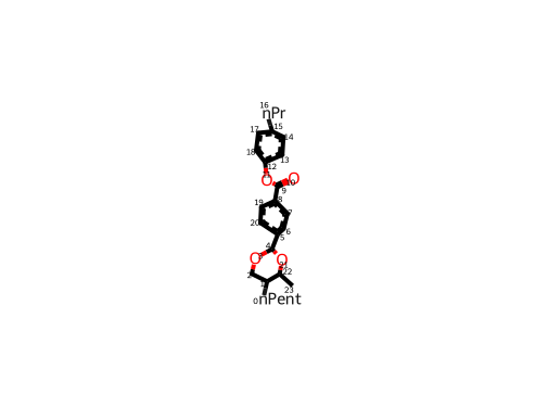 CCCCCC1COC(c2ccc(C(=O)Oc3ccc(CCC)cc3)cc2)OC1C